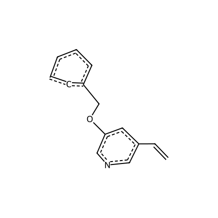 C=Cc1cncc(OCc2ccccc2)c1